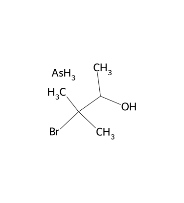 CC(O)C(C)(C)Br.[AsH3]